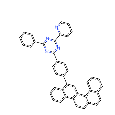 c1ccc(-c2nc(-c3ccc(-c4cc5c(ccc6ccc7ccccc7c65)c5ccccc45)cc3)nc(-c3ccccn3)n2)cc1